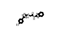 CCc1ccc(-c2nnc(SCC(=O)Nc3nc4ccccc4s3)[nH]2)cc1